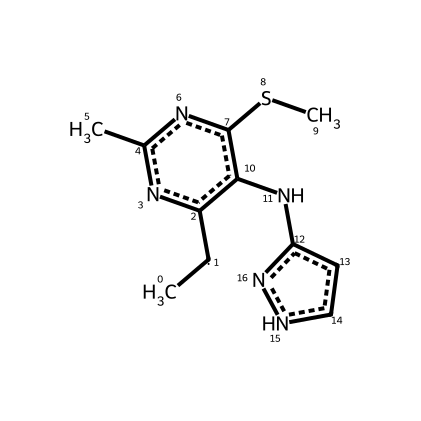 C[CH]c1nc(C)nc(SC)c1Nc1cc[nH]n1